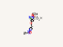 CC(C)c1noc(N2CCC([C@H](C)CCOc3ccc([C@H](NC(=O)OC(C)(C)C)C(=O)O)c(F)c3)CC2)n1